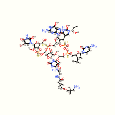 CC[C@@H](OC)n1cc(CC2C(OP(=O)(S)OOP(=S)(OCCOCCOCCNC(=O)CC(C)(C)COCC(C)(C)CN)OC[C@H]3O[C@@H](n4ccc(N)nc4=O)CC3C(C)C)[C@@H](COP(=O)(S)OC3C(OC)[C@H](n4ccc(N)nc4=O)O[C@@H]3COP(=O)(S)OC3C(OC)[C@H](n4cc(Br)c(=O)[nH]c4=O)O[C@@H]3CO)O[C@H]2n2cnc3c(=O)[nH]c(N)nc32)c(=O)[nH]c1=O